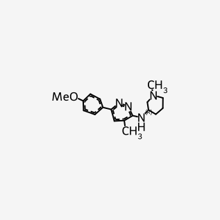 COc1ccc(-c2cc(C)c(N[C@@H]3CCCN(C)C3)nn2)cc1